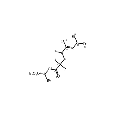 CCOC(=O)C(OC(=O)C(C)(C)CC(C)/C(=C/C(CC)CC)CC)C(C)C